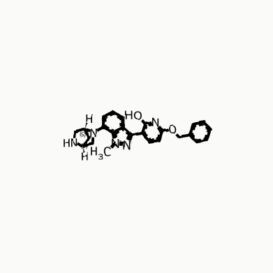 Cn1nc(-c2ccc(OCc3ccccc3)nc2O)c2cccc(N3C[C@@H]4C[C@H]3CN4)c21